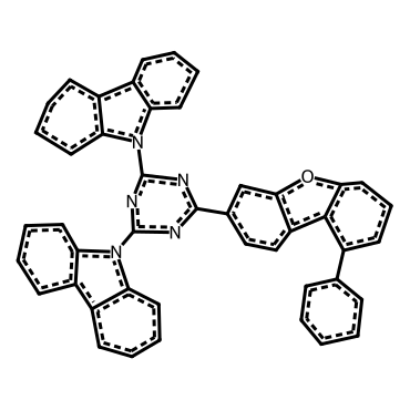 c1ccc(-c2cccc3oc4cc(-c5nc(-n6c7ccccc7c7ccccc76)nc(-n6c7ccccc7c7ccccc76)n5)ccc4c23)cc1